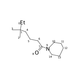 CCC(C)(C)CCCC(=O)N1CCCCC1